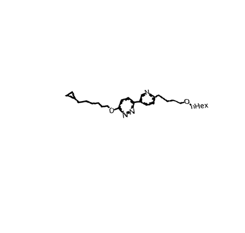 CCCCCCOCCCCc1ccc(-c2ccc(OCCCCCCC3CC3)nn2)cn1